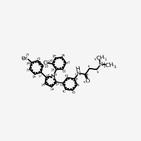 CN(C)CCC(=O)Nc1cccc(-c2ccc(-c3ccc(Br)cc3)n2-c2ccccc2C(F)(F)F)c1